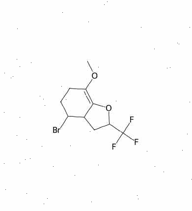 COC1=C2OC(C(F)(F)F)CC2C(Br)CC1